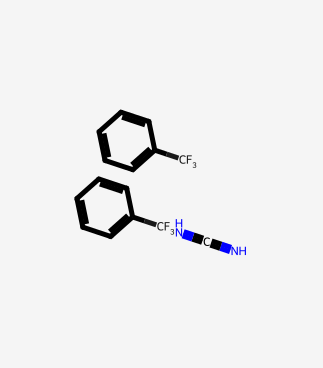 FC(F)(F)c1ccccc1.FC(F)(F)c1ccccc1.N=C=N